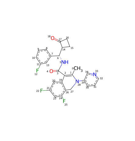 CC1=C(C(=O)N[C@H](c2cccc(F)c2)C2CCC2=O)c2cc(F)cc(F)c2CN1c1cccnc1